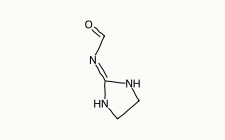 O=CN=C1NCCN1